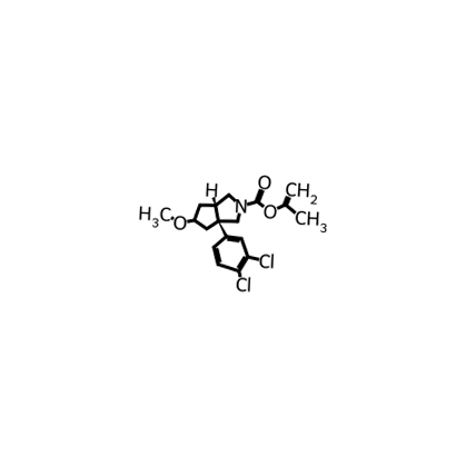 C=C(C)OC(=O)N1C[C@H]2CC(OC)C[C@@]2(c2ccc(Cl)c(Cl)c2)C1